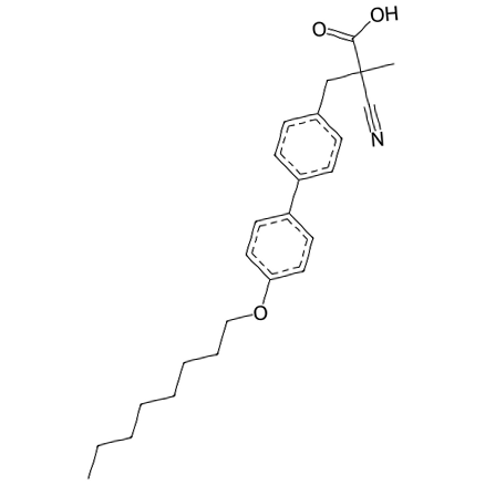 CCCCCCCCOc1ccc(-c2ccc(CC(C)(C#N)C(=O)O)cc2)cc1